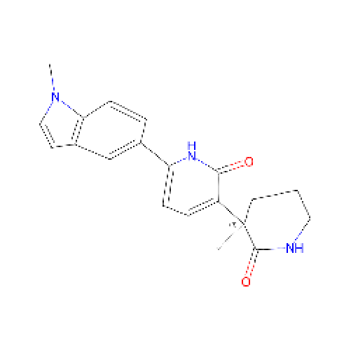 Cn1ccc2cc(-c3ccc([C@@]4(C)CCCNC4=O)c(=O)[nH]3)ccc21